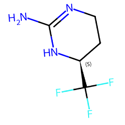 NC1=NCC[C@@H](C(F)(F)F)N1